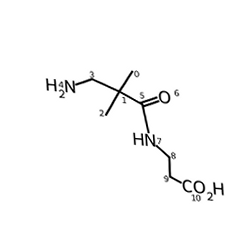 CC(C)(CN)C(=O)NCCC(=O)O